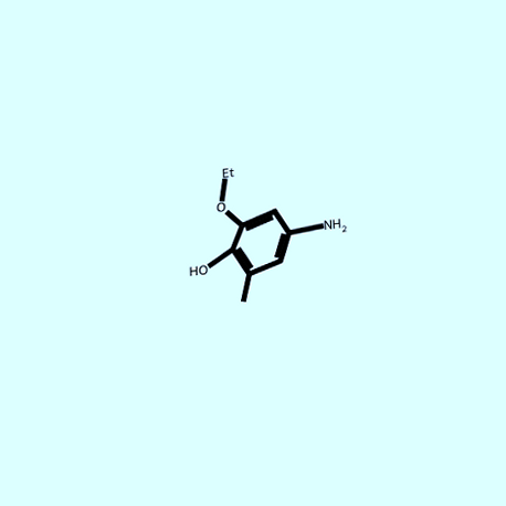 CCOc1cc(N)cc(C)c1O